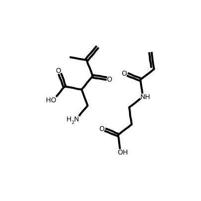 C=C(C)C(=O)C(CN)C(=O)O.C=CC(=O)NCCC(=O)O